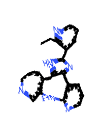 Cc1ncccc1-c1nc2c([nH]1)-c1ccncc1Nc1ncccc1-2